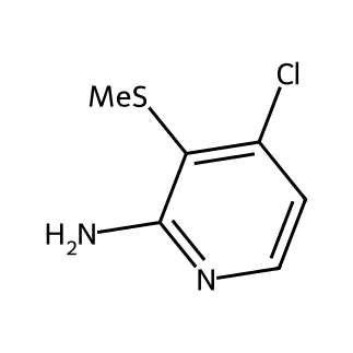 CSc1c(Cl)ccnc1N